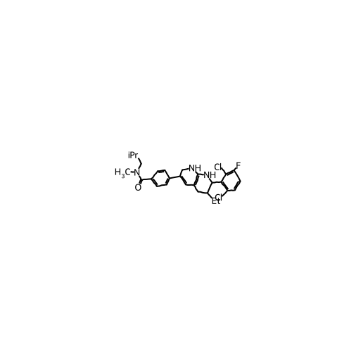 CCC1CC2=C(NCC(c3ccc(C(=O)N(C)CC(C)C)cc3)=C2)NC1c1c(Cl)ccc(F)c1Cl